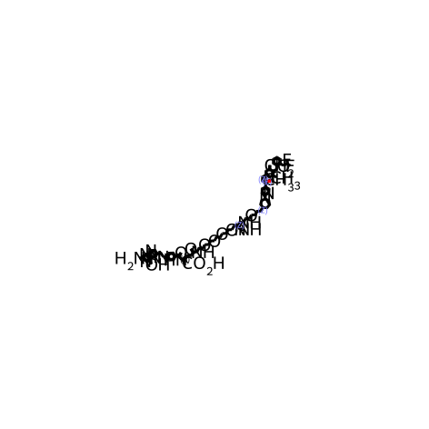 C=C1CC(/C=C\C(=C/C)c2ccc(N3CCC/C(=C/CCOCCN/C=C(/COCCOCCOCCOCCNC(=O)CC[C@H](NC(=O)c4ccc(NCc5cnc6nc(N)nc(O)c6n5)cc4)C(=O)O)N=N)CC3)nc2)=NC(C)=C1Cc1ccccc1OC(F)F